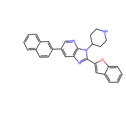 c1ccc2cc(-c3cnc4c(c3)nc(-c3cc5ccccc5o3)n4C3CCNCC3)ccc2c1